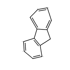 [c]1[c]c2c([c]c1)Cc1c[c][c]cc1-2